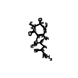 Cn1c(=O)c2c(nc(CC(N)=S)n2C)n(C)c1=O